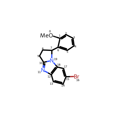 COc1ccccc1C1CCc2nc3ccc(Br)cc3n21